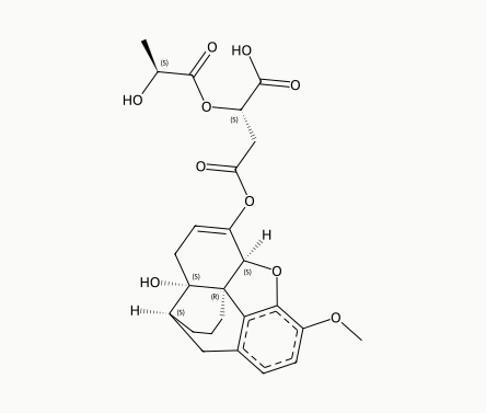 COc1ccc2c3c1O[C@@H]1C(OC(=O)C[C@H](OC(=O)[C@H](C)O)C(=O)O)=CC[C@]4(O)[C@@H](CCC[C@@]314)C2